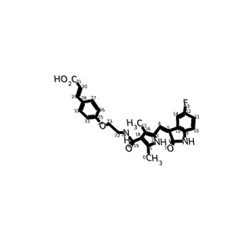 Cc1[nH]c(C=C2C(=O)Nc3ccc(F)cc32)c(C)c1C(=O)NCCOc1ccc(C=CC(=O)O)cc1